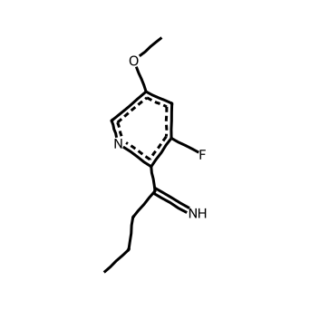 CCCC(=N)c1ncc(OC)cc1F